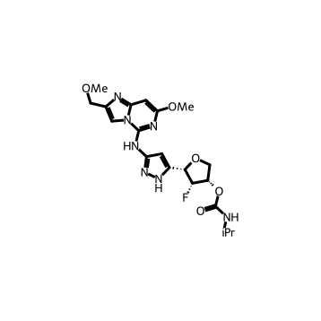 COCc1cn2c(Nc3cc([C@@H]4OC[C@H](OC(=O)NC(C)C)[C@@H]4F)[nH]n3)nc(OC)cc2n1